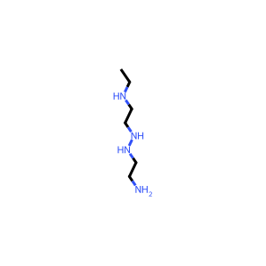 CCNCCNNCCN